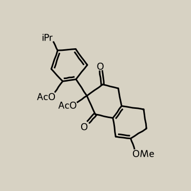 COC1=CC2=C(CC1)CC(=O)C(OC(C)=O)(c1ccc(C(C)C)cc1OC(C)=O)C2=O